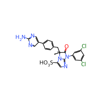 C[C@@]1(Cc2ccc(-c3cnc(N)nc3)cc2)C(=O)N(c2cc(Cl)cc(Cl)c2)c2ncc(S(=O)(=O)O)n21